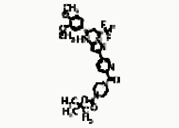 COc1ccc([C@@H]2C[C@H](C(F)(F)F)n3nc(-c4ccc(C(=O)N5CCN(C(=O)OC(C)(C)C)CC5)nc4)cc3N2)cc1OC